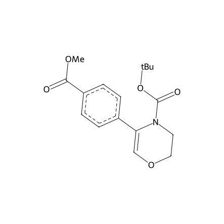 COC(=O)c1ccc(C2=COCCN2C(=O)OC(C)(C)C)cc1